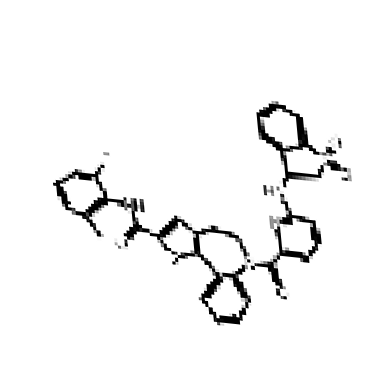 Cc1cccc(F)c1NC(=O)c1cc2c(s1)-c1ccccc1N(C(=O)c1cccc(NC3CS(=O)(=O)c4ccccc43)n1)CC2